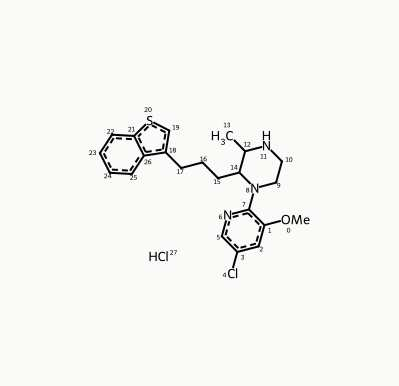 COc1cc(Cl)cnc1N1CCNC(C)C1CCCc1csc2ccccc12.Cl